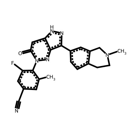 Cc1cc(C#N)cc(F)c1-n1nc2c(-c3ccc4c(c3)CN(C)CC4)n[nH]c2cc1=O